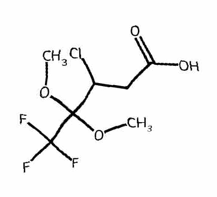 COC(OC)(C(Cl)CC(=O)O)C(F)(F)F